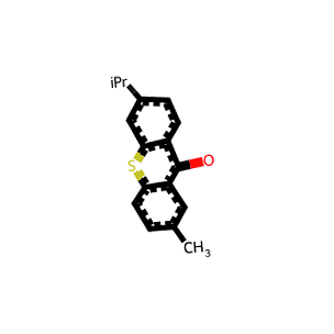 Cc1ccc2sc3cc(C(C)C)ccc3c(=O)c2c1